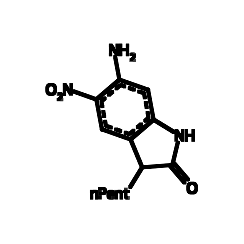 CCCCCC1C(=O)Nc2cc(N)c([N+](=O)[O-])cc21